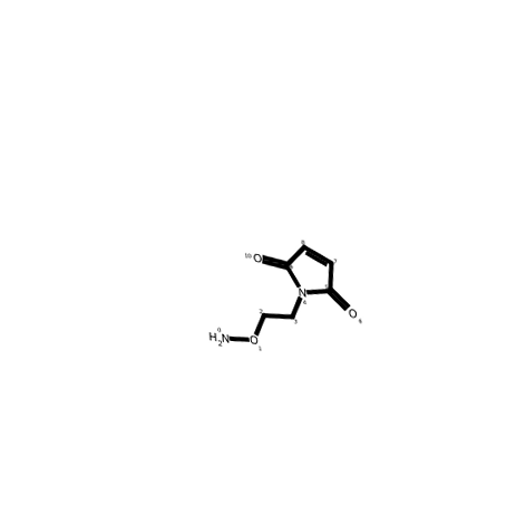 NOCCN1C(=O)C=CC1=O